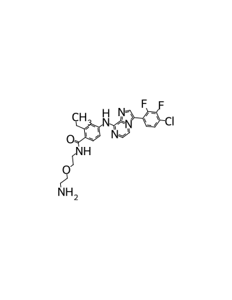 CCc1cc(Nc2nccn3c(-c4ccc(Cl)c(F)c4F)cnc23)ccc1C(=O)NCCOCCN